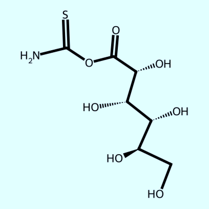 NC(=S)OC(=O)[C@H](O)[C@@H](O)[C@H](O)[C@H](O)CO